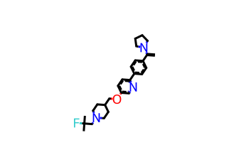 C=C(c1ccc(-c2ccc(OCC3CCN(CC(C)(C)F)CC3)cn2)cc1)N1CCCC1